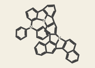 c1ccc(N(c2ccccc2)c2cccc3c4cccc5c6cc7c(cc6n(c23)c54)c2c3ccccc3cc3c4c5ccccc5ccc4n7c32)cc1